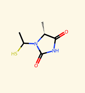 CC(S)N1C(=O)NC(=O)[C@H]1C